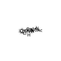 CC(=O)c1ccc(Cn2ncc(NC(=O)OCc3ccccc3Cl)n2)o1